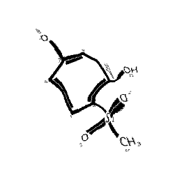 CS(=O)(=O)c1ccc([O])cc1O